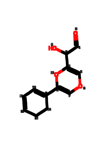 O=CC(O)C1=COC=C(C2=CC=CCC2)O1